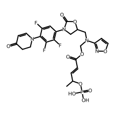 CC(C=CC(=O)OCN(CC1CN(c2cc(F)c(N3C=CC(=O)CC3)c(F)c2F)C(=O)O1)c1ccon1)OP(=O)(O)O